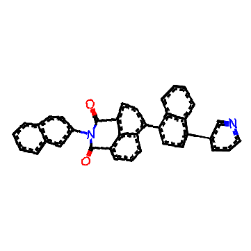 O=C1c2cccc3c(-c4ccc(-c5cccnc5)c5ccccc45)ccc(c23)C(=O)N1c1ccc2ccccc2c1